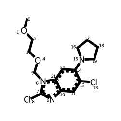 COCCOCn1c(Cl)nc2cc(Cl)c(N3CCCC3)cc21